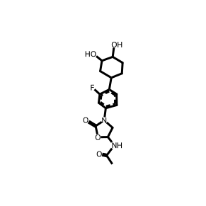 CC(=O)NC1CN(c2ccc(C3CCC(O)C(O)C3)c(F)c2)C(=O)O1